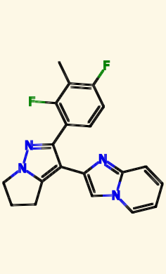 Cc1c(F)ccc(-c2nn3c(c2-c2cn4ccccc4n2)CCC3)c1F